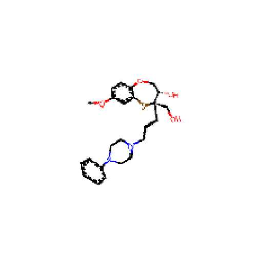 COc1ccc2c(c1)S[C@@](CO)(CCCN1CCN(c3ccccc3)CC1)[C@@H](O)CO2